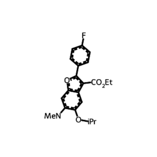 CCOC(=O)c1c(-c2ccc(F)cc2)oc2cc(NC)c(OC(C)C)cc12